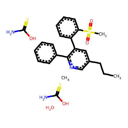 C.CCCc1cnc(-c2ccccc2)c(-c2ccccc2S(C)(=O)=O)c1.NC(O)=S.NC(O)=S.O